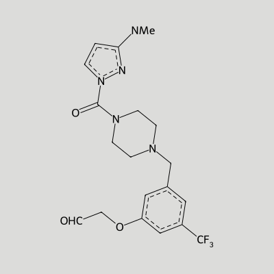 CNc1ccn(C(=O)N2CCN(Cc3cc(OCC=O)cc(C(F)(F)F)c3)CC2)n1